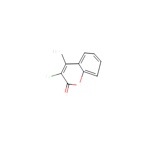 Cc1c(Br)c(=O)oc2ccccc12